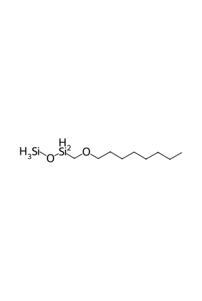 CCCCCCCCOC[SiH2]O[SiH3]